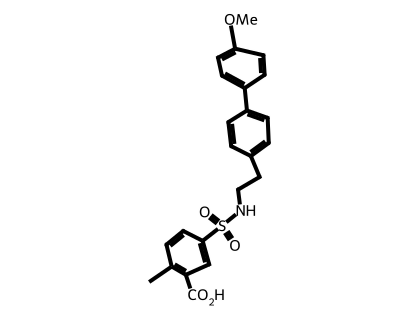 COc1ccc(-c2ccc(CCNS(=O)(=O)c3ccc(C)c(C(=O)O)c3)cc2)cc1